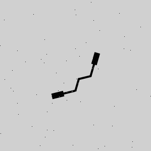 C#CC[CH]CC#C